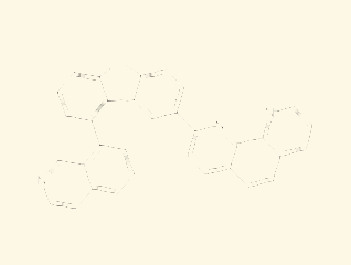 c1cc(-c2cccc3oc4ccc(-c5ccc6ccc7cccnc7c6n5)cc4c23)c2cnccc2c1